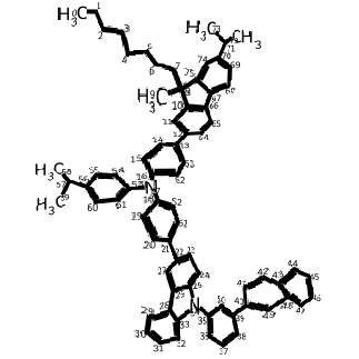 CCCCCCCCC1(C)c2cc(-c3ccc(N(c4ccc(-c5ccc6c(c5)c5ccccc5n6-c5cccc(-c6ccc7ccccc7c6)c5)cc4)c4ccc(C(C)C)cc4)cc3)ccc2-c2ccc(C(C)C)cc21